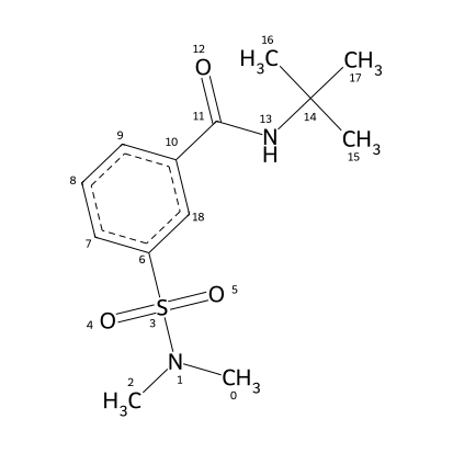 CN(C)S(=O)(=O)c1cccc(C(=O)NC(C)(C)C)c1